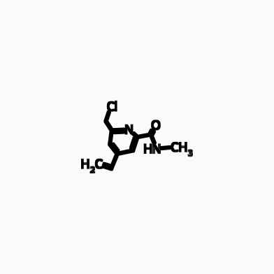 C=Cc1cc(CCl)nc(C(=O)NC)c1